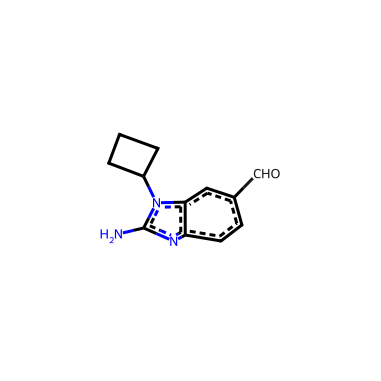 Nc1nc2ccc(C=O)cc2n1C1CCC1